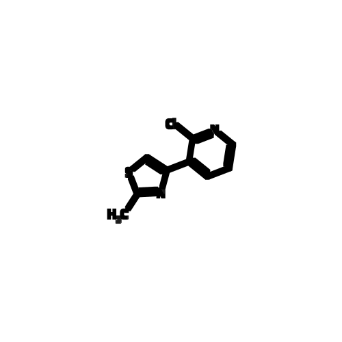 Cc1nc(-c2cccnc2Cl)cs1